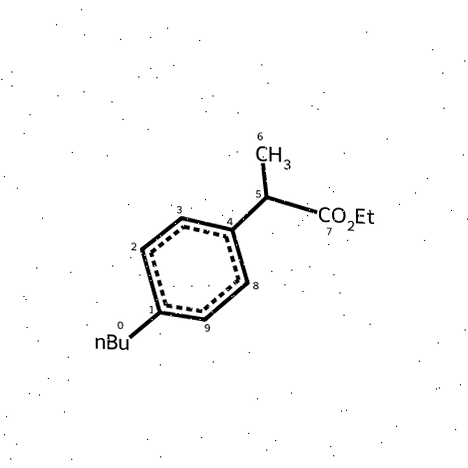 CCCCc1ccc(C(C)C(=O)OCC)cc1